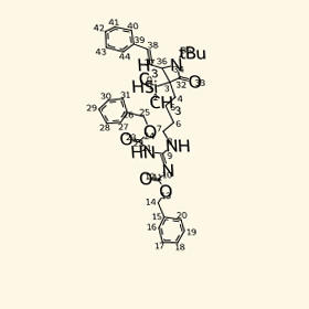 C[SiH](C)C1(CCCCNC(=NC(=O)OCc2ccccc2)NC(=O)OCc2ccccc2)C(=O)N(C(C)(C)C)C1C=Cc1ccccc1